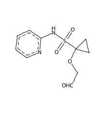 O=CCOC1(S(=O)(=O)Nc2ccccn2)CC1